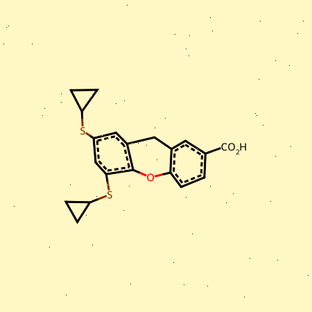 O=C(O)c1ccc2c(c1)Cc1cc(SC3CC3)cc(SC3CC3)c1O2